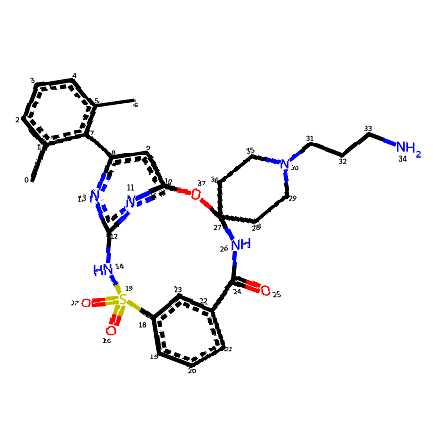 Cc1cccc(C)c1-c1cc2nc(n1)NS(=O)(=O)c1cccc(c1)C(=O)NC1(CCN(CCCN)CC1)O2